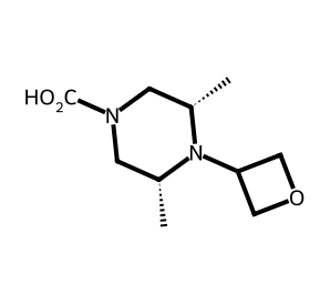 C[C@@H]1CN(C(=O)O)C[C@H](C)N1C1COC1